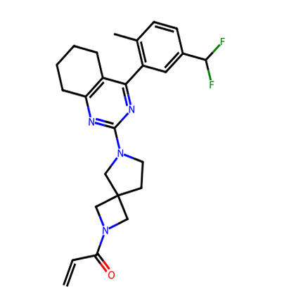 C=CC(=O)N1CC2(CCN(c3nc4c(c(-c5cc(C(F)F)ccc5C)n3)CCCC4)C2)C1